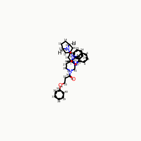 Cc1nc2ccccc2n1[C@H]1C[C@H]2CC[C@@H](C1)N2CCC1(c2ccccc2)CCN(C(=O)CCOc2ccccc2)CC1